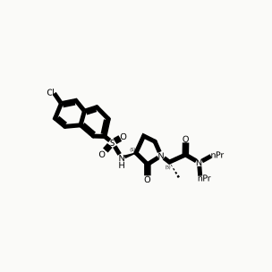 CCCN(CCC)C(=O)[C@H](C)N1CC[C@H](NS(=O)(=O)c2ccc3cc(Cl)ccc3c2)C1=O